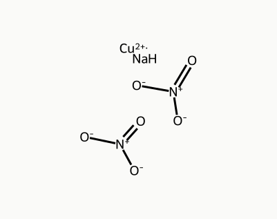 O=[N+]([O-])[O-].O=[N+]([O-])[O-].[Cu+2].[NaH]